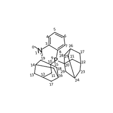 CN(C)c1ccccc1P(C12CC3CC(CC(C3)C1)C2)C12CC3CC(CC(C3)C1)C2